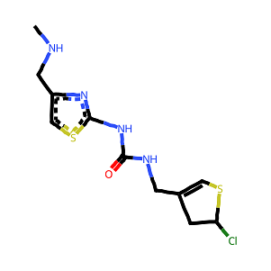 CNCc1csc(NC(=O)NCC2=CSC(Cl)C2)n1